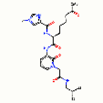 CCC(CC)CNC(=O)Cn1cccc(NC(=O)[C@H](CC/C=C/C(=O)OC)NC(=O)c2cn(C)cn2)c1=O